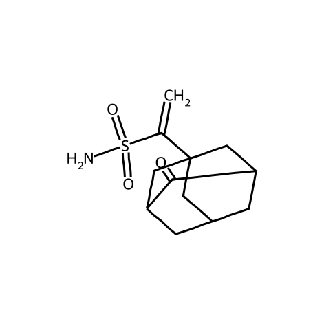 C=C(C12CC3CC(C1)C(=O)C(C3)C2)S(N)(=O)=O